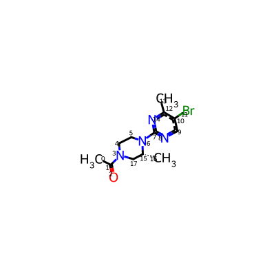 CC(=O)N1CCN(c2ncc(Br)c(C)n2)[C@H](C)C1